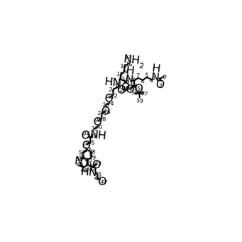 CC(=O)NCCCCC(NC(=O)C(CCCCN)NC(=O)CCOCCOCCOCCNC(=O)COc1ccc2c(C(=O)NCC=O)ccnc2c1)C(=O)OC(C)(C)C